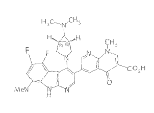 CNc1cc(F)c(F)c2c1[nH]c1ncc(-c3cnc4c(c3)c(=O)c(C(=O)O)cn4C)c(N3C[C@@H]4C(N(C)C)[C@@H]4C3)c12